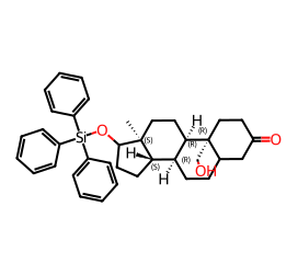 C[C@]12CC[C@@H]3[C@@H](CCC4CC(=O)CC[C@@]43CO)[C@@H]1CCC2O[Si](c1ccccc1)(c1ccccc1)c1ccccc1